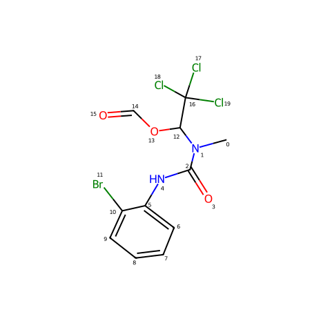 CN(C(=O)Nc1ccccc1Br)C(OC=O)C(Cl)(Cl)Cl